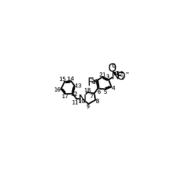 O=[N+]([O-])c1ccc(C2CCN(Cc3ccccc3)C2)c(F)c1